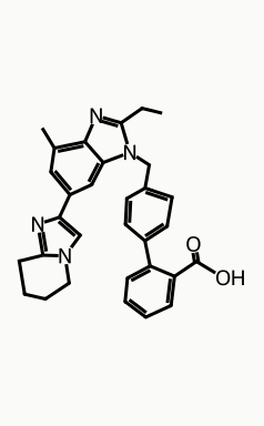 CCc1nc2c(C)cc(-c3cn4c(n3)CCCC4)cc2n1Cc1ccc(-c2ccccc2C(=O)O)cc1